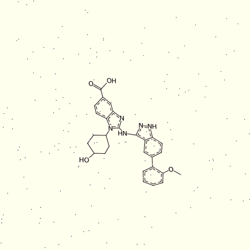 COc1ccccc1-c1ccc2[nH]nc(Nc3nc4cc(C(=O)O)ccc4n3C3CCC(O)CC3)c2c1